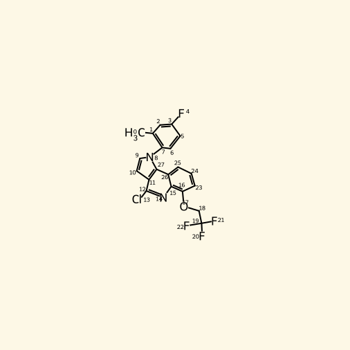 Cc1cc(F)ccc1-n1ccc2c(Cl)nc3c(OCC(F)(F)F)cccc3c21